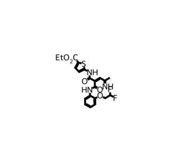 CCOC(=O)c1ccc(NC(=O)/C(=C/C(C)=N)C(=O)Nc2ccccc2OCC(F)F)s1